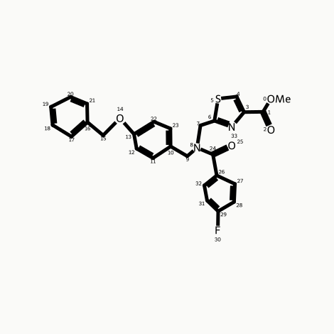 COC(=O)c1csc(CN(Cc2ccc(OCc3ccccc3)cc2)C(=O)c2ccc(F)cc2)n1